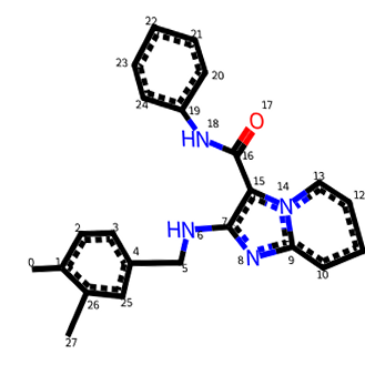 Cc1ccc(CNc2nc3ccccn3c2C(=O)Nc2ccccc2)cc1C